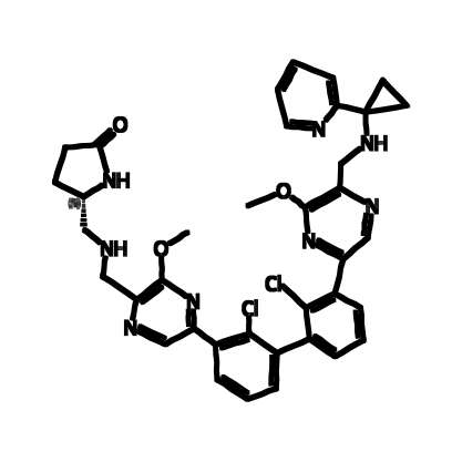 COc1nc(-c2cccc(-c3cccc(-c4cnc(CNC5(c6ccccn6)CC5)c(OC)n4)c3Cl)c2Cl)cnc1CNC[C@@H]1CCC(=O)N1